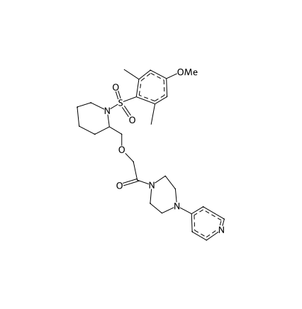 COc1cc(C)c(S(=O)(=O)N2CCCCC2COCC(=O)N2CCN(c3ccncc3)CC2)c(C)c1